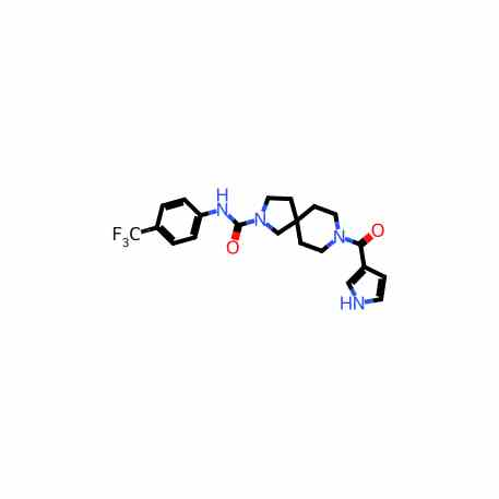 O=C(Nc1ccc(C(F)(F)F)cc1)N1CCC2(CCN(C(=O)c3cc[nH]c3)CC2)C1